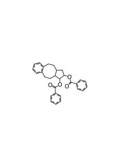 O=C(OC1CC2CCc3ccccc3CCC2C1OC(=O)c1ccccc1)c1ccccc1